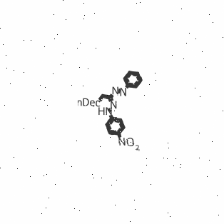 CCCCCCCCCCCC(N=Nc1ccccc1)=NNc1ccc([N+](=O)[O-])cc1